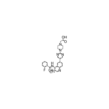 C[C@@H](Nc1c(Cl)cnc2ccc(-c3cnc(N4CCN(CC(=O)O)CC4)nc3)cc12)c1ccccc1F